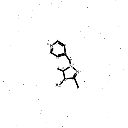 CC(=O)C1C(C)=NN(Cc2ccncc2)C1C